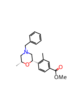 COC(=O)c1ccc([C@H]2CN(Cc3ccccc3)C[C@@H](C)O2)c(C)c1